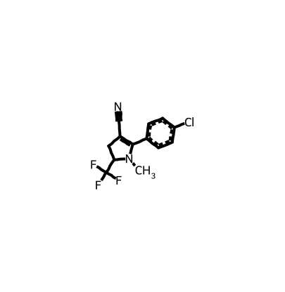 CN1C(c2ccc(Cl)cc2)=C(C#N)CC1C(F)(F)F